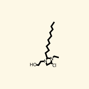 CCCCCCCCCCC1N(CCO)CC(Cl)N1CC